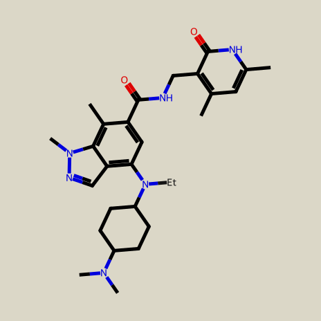 CCN(c1cc(C(=O)NCc2c(C)cc(C)[nH]c2=O)c(C)c2c1cnn2C)C1CCC(N(C)C)CC1